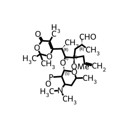 C=CC[C@](C[C@@H](C)C=O)(OC)[C@H](O[C@@H]1OC(C)CC(N(C)C)C1P=O)[C@@H](C)C1=C(C)C(=O)OC(C)(C)O1